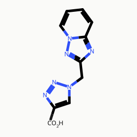 O=C(O)c1cn(Cc2nc3ccccn3n2)nn1